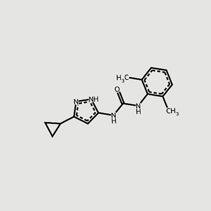 Cc1cccc(C)c1NC(=O)Nc1cc(C2CC2)n[nH]1